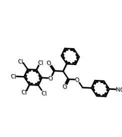 O=C(OCc1ccc([N+](=O)[O-])cc1)C(C(=O)Oc1c(Cl)c(Cl)c(Cl)c(Cl)c1Cl)c1ccccc1